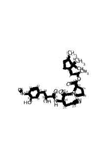 CC(CC1CCC(C)C1(C)C)OC(=O)C1CCCN1C(=O)C(CC#N)NC(=O)C(O)Cc1ccc(N=O)c(O)c1